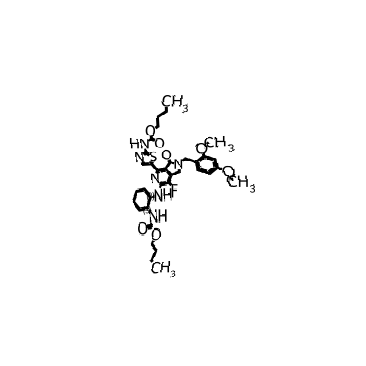 CCCCOC(=O)Nc1ncc(-c2nc(N[C@@H]3CCCC[C@@H]3NC(=O)OCCCC)c(F)c3c2C(=O)N(Cc2ccc(OC)cc2OC)C3)s1